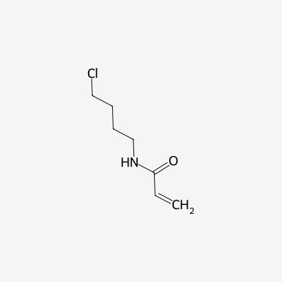 C=CC(=O)NCCCCCl